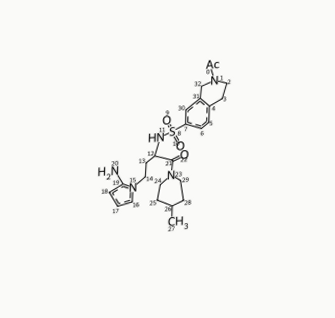 CC(=O)N1CCc2ccc(S(=O)(=O)NC(CCn3cccc3N)C(=O)N3CCC(C)CC3)cc2C1